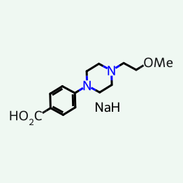 COCCN1CCN(c2ccc(C(=O)O)cc2)CC1.[NaH]